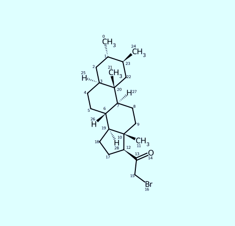 C[C@H]1C[C@@H]2CC[C@@H]3[C@H](CC[C@]4(C)[C@@H](C(=O)CBr)CC[C@@H]34)[C@@]2(C)C[C@@H]1C